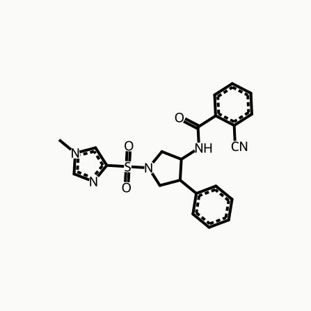 Cn1cnc(S(=O)(=O)N2CC(NC(=O)c3ccccc3C#N)C(c3ccccc3)C2)c1